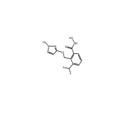 O=C(NO)c1cccc(C(F)F)c1COc1ccn(S)n1